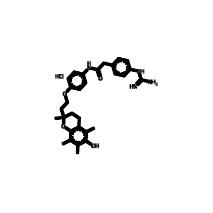 Cc1c(C)c2c(c(C)c1O)CCC(C)(CCOc1ccc(NC(=O)Cc3ccc(NC(=N)N)cc3)cc1)O2.Cl